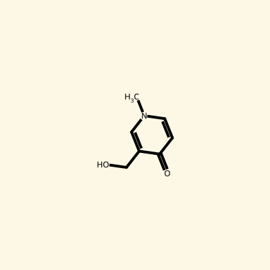 Cn1ccc(=O)c(CO)c1